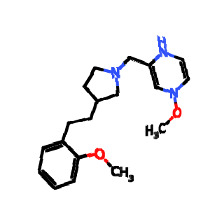 COc1ccccc1CCC1CCN(CC2=CN(OC)C=CN2)C1